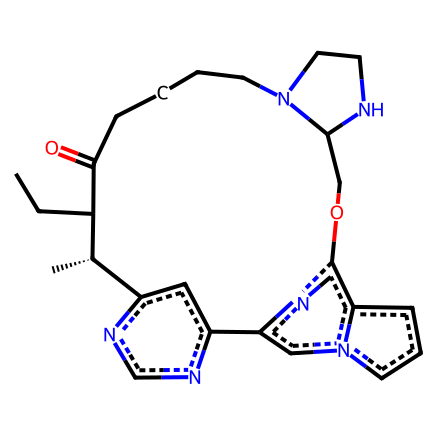 CCC1C(=O)CCCCN2CCNC2COc2nc(cn3cccc23)-c2cc(ncn2)[C@@H]1C